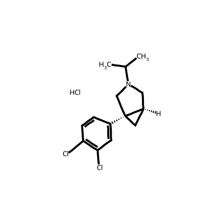 CC(C)N1C[C@H]2C[C@@]2(c2ccc(Cl)c(Cl)c2)C1.Cl